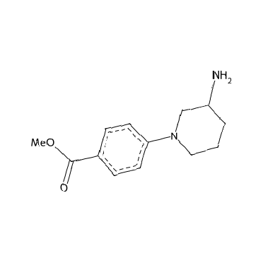 COC(=O)c1ccc(N2CCCC(N)C2)cc1